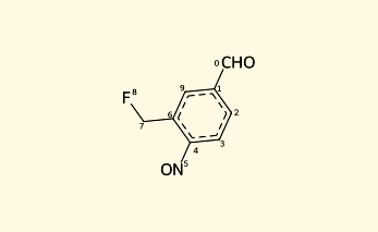 O=Cc1ccc(N=O)c(CF)c1